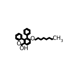 CCCCCCCCOc1ccc(C(=O)O)c(-c2ccccc2)c1-c1ccccc1